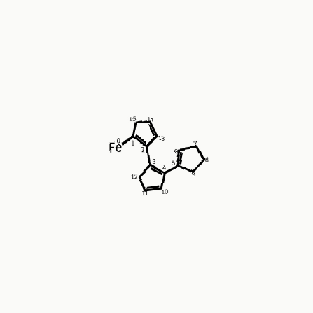 [Fe][C]1=C(C2=C(C3=CCCC3)C=CC2)C=CC1